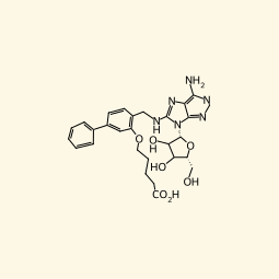 Nc1ncnc2c1nc(NCc1ccc(-c3ccccc3)cc1OCCCCC(=O)O)n2[C@@H]1O[C@H](CO)C(O)C1O